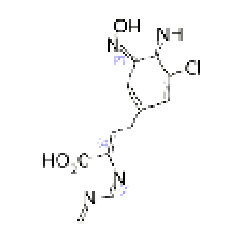 C=N/C=N\C(=C/CC1=C/C(=N/O)C(=N)C(Cl)=C1)C(=O)O